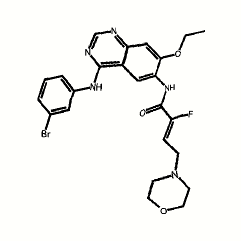 CCOc1cc2ncnc(Nc3cccc(Br)c3)c2cc1NC(=O)C(F)=CCN1CCOCC1